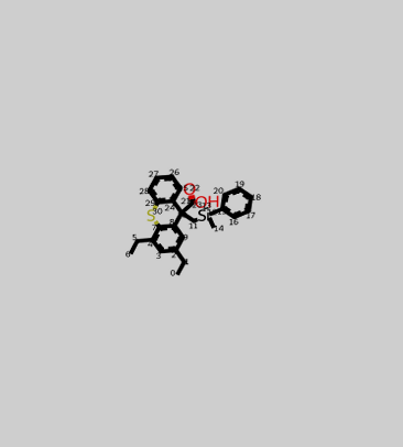 CCc1cc(CC)c2c(c1)C(C[Si](C)(C)c1ccccc1)(C(=O)O)c1ccccc1S2